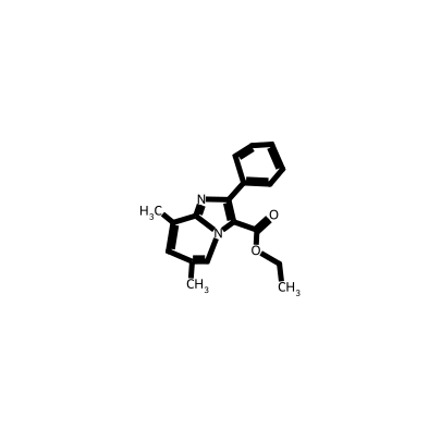 CCOC(=O)c1c(-c2ccccc2)nc2c(C)cc(C)cn12